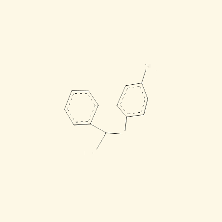 CC(Oc1ccc(N)cc1)c1ccccc1